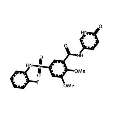 COc1cc(S(=O)(=O)Nc2ccccc2F)cc(C(=O)Nc2ccc(=O)[nH]c2)c1OC